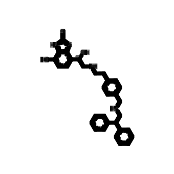 O=c1[nH]c2c(O)ccc([C@@H](O)CNCCc3ccc(CNCC(c4ccccc4)c4ccccc4)cc3)c2s1